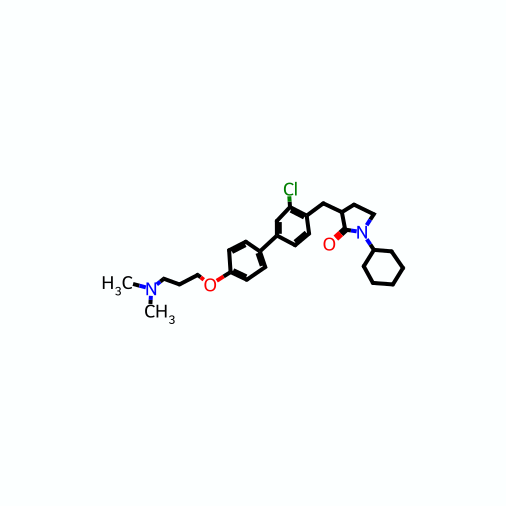 CN(C)CCCOc1ccc(-c2ccc(CC3CCN(C4CCCCC4)C3=O)c(Cl)c2)cc1